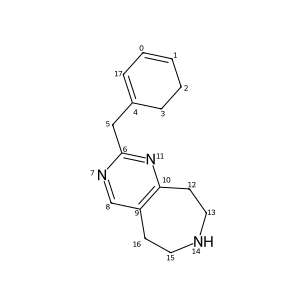 C1=CCCC(Cc2ncc3c(n2)CCNCC3)=C1